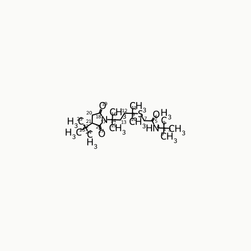 CC(C)(C)NC(=O)CSC(C)(C)CCC(C)(C)N1C(=O)CC(C(C)(C)C)C1=O